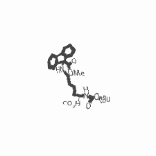 COC(=O)C1(NCCCC[C@H](NC(=O)OC(C)(C)C)C(=O)O)c2ccccc2-c2ccccc21